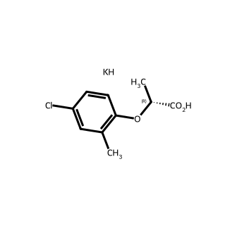 Cc1cc(Cl)ccc1O[C@H](C)C(=O)O.[KH]